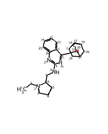 CCN1CCCC1CNc1nc(N2CC3CCC(CC3)C2)c2ccccc2n1